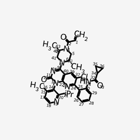 C=CC(=O)N1C[C@H](C)N(c2nc(=O)n(-c3c(C)ccnc3C(C)C)c3nc(-c4ccccc4NC(=O)C4CC4)c(Cl)cc23)C[C@H]1C